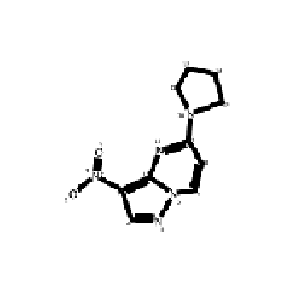 O=[N+]([O-])c1cnn2ccc(N3CCCC3)nc12